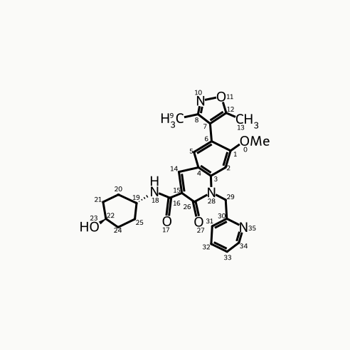 COc1cc2c(cc1-c1c(C)noc1C)cc(C(=O)N[C@H]1CC[C@H](O)CC1)c(=O)n2Cc1ccccn1